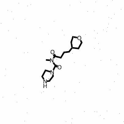 CN(C(=O)CCCC1CCOCC1)C(=O)N1CCNCC1